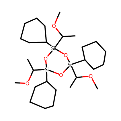 COC(C)[Si]1(C2CCCCC2)O[Si](C2CCCCC2)(C(C)OC)O[Si](C2CCCCC2)(C(C)OC)O1